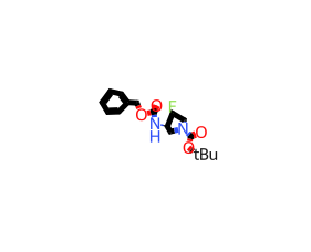 CC(C)(C)OC(=O)N1C[C@@H](F)[C@@H](NC(=O)OCc2ccccc2)C1